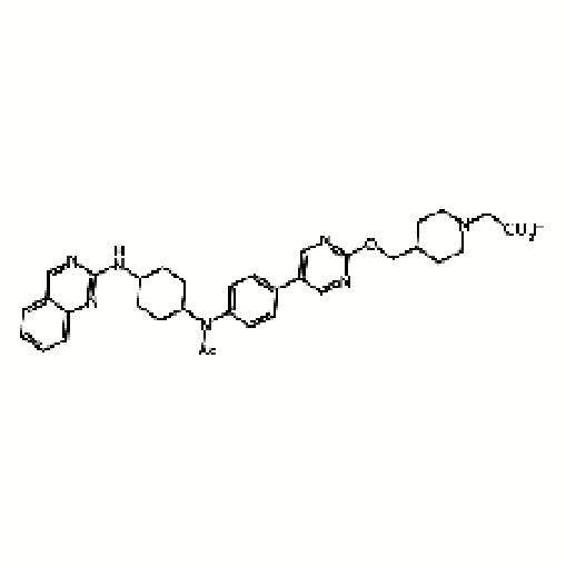 CC(=O)N(c1ccc(-c2cnc(OCC3CCN(CC(=O)O)CC3)nc2)cc1)C1CCC(Nc2ncc3ccccc3n2)CC1